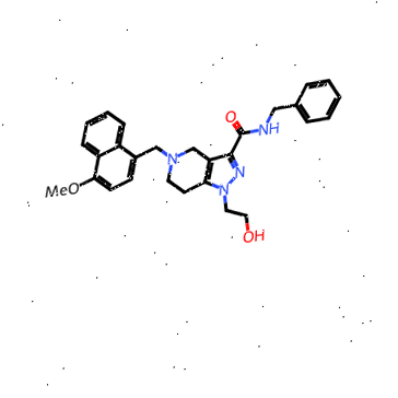 COc1ccc(CN2CCc3c(c(C(=O)NCc4ccccc4)nn3CCO)C2)c2ccccc12